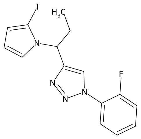 CCC(c1cn(-c2ccccc2F)nn1)n1cccc1I